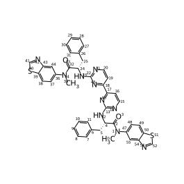 CN(C(=O)[C@H](Cc1ccccc1)Nc1nccc(-c2ccnc(N[C@@H](Cc3ccccc3)C(=O)N(C)c3ccc4scnc4c3)n2)n1)c1ccc2scnc2c1